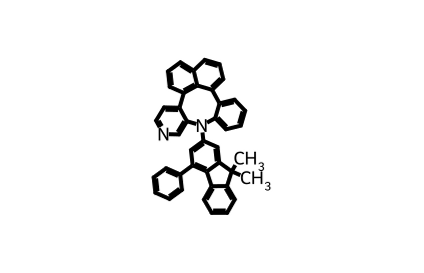 CC1(C)c2ccccc2-c2c(-c3ccccc3)cc(N3c4ccccc4-c4cccc5cccc(c45)-c4ccncc43)cc21